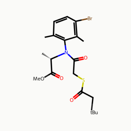 COC(=O)[C@H](C)N(C(=O)CSC(=O)CC(C)(C)C)c1c(C)ccc(Br)c1C